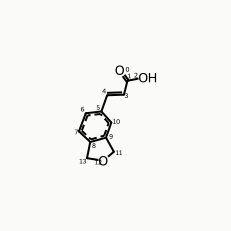 O=C(O)C=Cc1ccc2c(c1)COC2